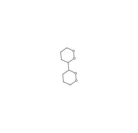 C1COOC(C2CCCOO2)C1